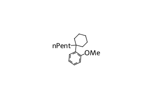 CCCCCC1(c2ccccc2OC)CCCCC1